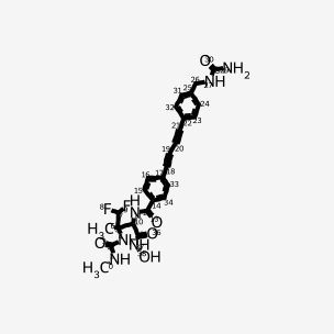 CNC(=O)NC(C)(C(F)F)C(NC(=O)c1ccc(C#CC#Cc2ccc(CNC(N)=O)cc2)cc1)C(=O)NO